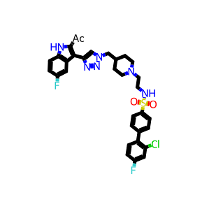 CC(=O)c1[nH]c2ccc(F)cc2c1-c1cn(CC2CCN(CCNS(=O)(=O)c3ccc(-c4ccc(F)cc4Cl)cc3)CC2)nn1